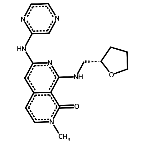 Cn1ccc2cc(Nc3cnccn3)nc(NC[C@@H]3CCCO3)c2c1=O